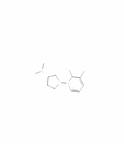 CC1=CC=CN(N2CC[C@H](N(C)C)C2)C1Cl